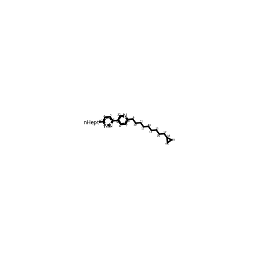 CCCCCCCc1ccc(-c2ccc(CCCCCCCCCC3CC3)nc2)nn1